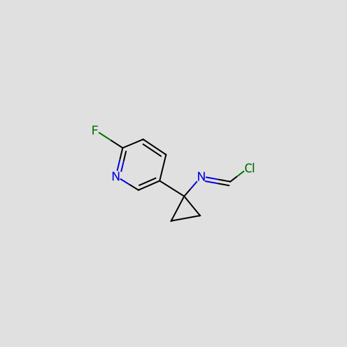 Fc1ccc(C2(N=CCl)CC2)cn1